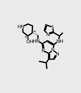 CC(C)c1cnn2c(NC(C)c3nccs3)cc(NC[C@H]3CCNC[C@@H]3O)nc12